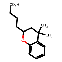 CC1(C)CC(CCCC(=O)O)Oc2ccccc21